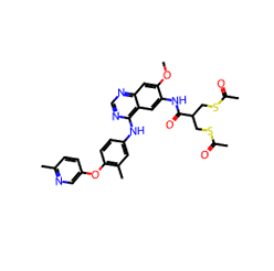 COc1cc2ncnc(Nc3ccc(Oc4ccc(C)nc4)c(C)c3)c2cc1NC(=O)C(CSC(C)=O)CSC(C)=O